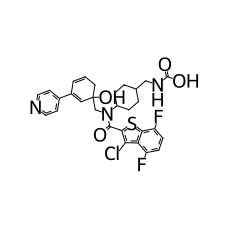 O=C(O)NCC1CCC(N(CC2(O)C=C(c3ccncc3)C=CC2)C(=O)c2sc3c(F)ccc(F)c3c2Cl)CC1